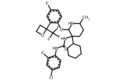 CC1CCC(NC(=O)Nc2ccc(Cl)cc2F)(C2CCCCC2)C(Oc2ccc(F)cc2C2(C(F)(F)F)CCO2)N1